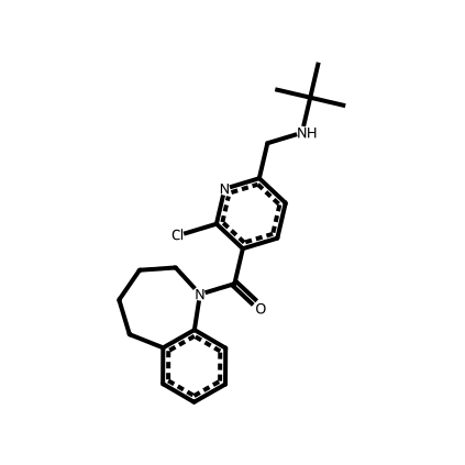 CC(C)(C)NCc1ccc(C(=O)N2CCCCc3ccccc32)c(Cl)n1